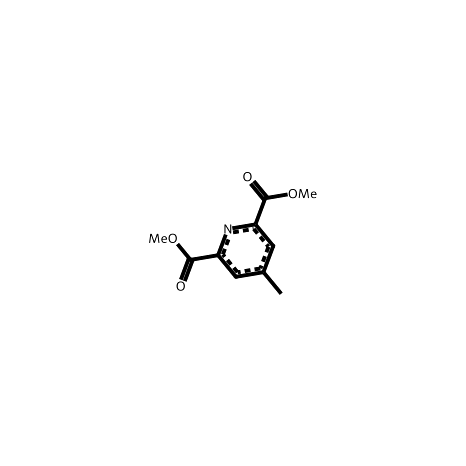 COC(=O)c1cc(C)cc(C(=O)OC)n1